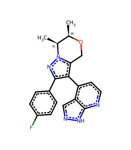 C[C@H]1OCc2c(-c3ccnc4[nH]ncc34)c(-c3ccc(F)cc3)nn2[C@H]1C